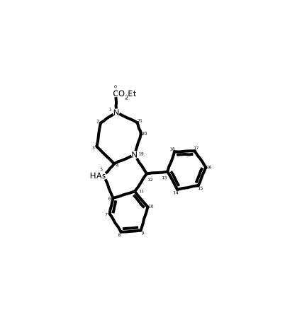 CCOC(=O)N1CCC2[AsH]c3ccccc3C(c3ccccc3)N2CC1